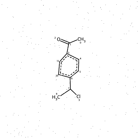 CC(=O)c1ccc(C(C)Cl)cc1